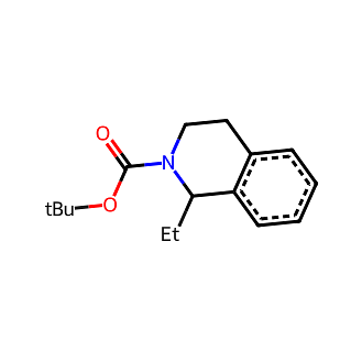 CCC1c2ccccc2CCN1C(=O)OC(C)(C)C